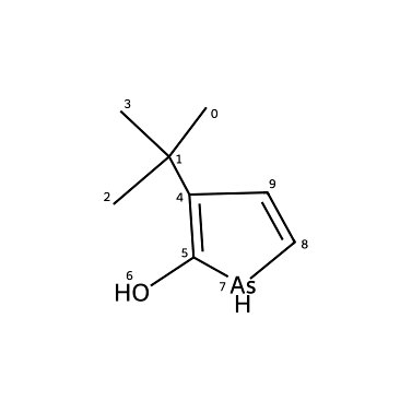 CC(C)(C)C1=C(O)[AsH]C=C1